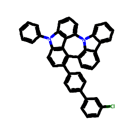 Clc1cccc(-c2ccc(-c3ccc4c5c3c3cccc6c7ccccc7n(c7cccc(c57)n4-c4ccccc4)c63)cc2)c1